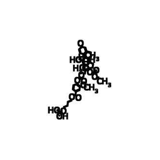 CCOC(=O)O[C@]1(C(=O)COC(=O)Oc2ccc(C(=O)OCCCCON(O)O)cc2OC)CC[C@H]2[C@@H]3CCC4=CC(=O)C=C[C@]4(C)[C@H]3[C@@H](O)C[C@@]21C